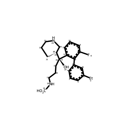 CCc1cccc(-c2c(F)cccc2[C@](O)(CCCNC(=O)O)[C@@H]2CCCNC2)c1